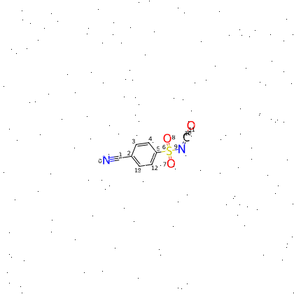 N#Cc1ccc(S(=O)(=O)N=C=O)cc1